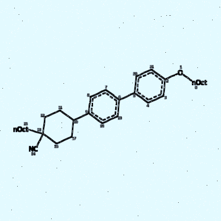 CCCCCCCCOc1ccc(-c2ccc(C3CCC(C#N)(CCCCCCCC)CC3)cc2)cc1